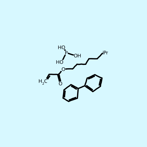 C=CC(=O)OCCCCCC(C)C.OP(O)O.c1ccc(-c2ccccc2)cc1